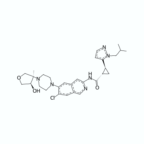 CC(C)Cn1nccc1[C@H]1C[C@@H]1C(=O)Nc1cc2cc(N3CCN([C@]4(C)COC[C@@H]4O)CC3)c(Cl)cc2cn1